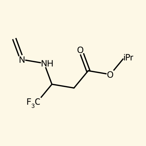 C=NNC(CC(=O)OC(C)C)C(F)(F)F